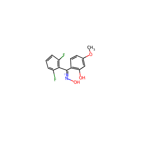 COc1ccc(/C(=N\O)c2c(F)cccc2F)c(O)c1